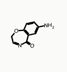 Nc1ccc2c(c1)C(=O)N=CCO2